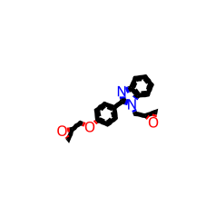 c1ccc2c(c1)nc(-c1ccc(OCC3CO3)cc1)n2CC1CO1